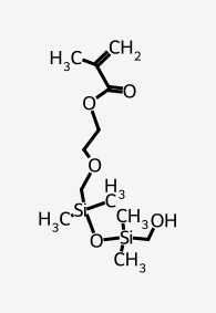 C=C(C)C(=O)OCCOC[Si](C)(C)O[Si](C)(C)CO